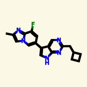 Cc1cn2cc(-c3c[nH]c4nc(CC5CCC5)ncc34)cc(F)c2n1